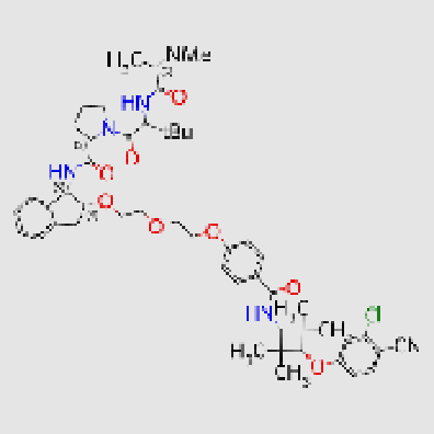 CN[C@@H](C)C(=O)NC(C(=O)N1CCC[C@H]1C(=O)N[C@H]1c2ccccc2C[C@H]1OCCOCCOc1ccc(C(=O)N[C@H]2C(C)(C)[C@H](Oc3ccc(C#N)c(Cl)c3)C2(C)C)cc1)C(C)(C)C